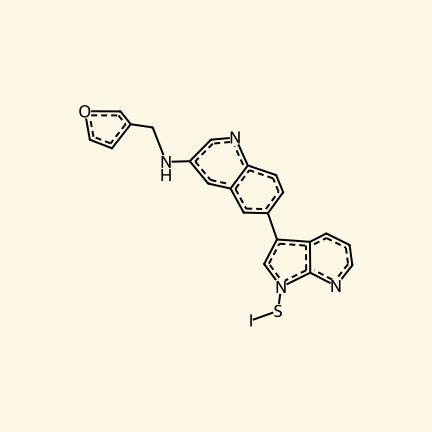 ISn1cc(-c2ccc3ncc(NCc4ccoc4)cc3c2)c2cccnc21